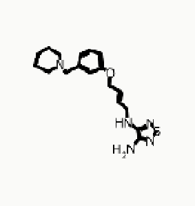 Nc1nsnc1NCC=CCOc1cccc(CN2CCCCC2)c1